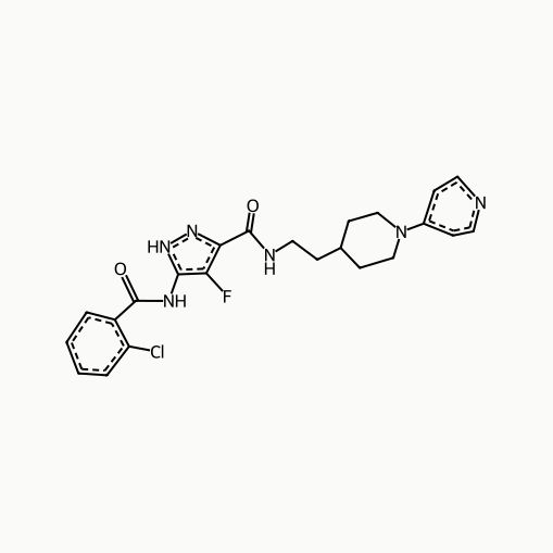 O=C(Nc1[nH]nc(C(=O)NCCC2CCN(c3ccncc3)CC2)c1F)c1ccccc1Cl